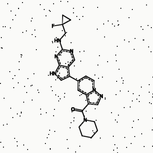 O=C(c1cnn2ccc(-c3c[nH]c4nc(NCC5(F)CC5)ncc34)cc12)N1CCCCC1